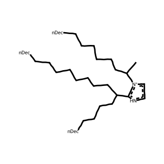 CCCCCCCCCCCCCCCCCCC(CCCCCCCCCCCCCC)c1[nH]cc[n+]1C(C)CCCCCCCCCCCCCCCC